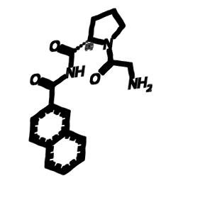 NCC(=O)N1CCC[C@H]1C(=O)NC(=O)c1ccc2ccccc2c1